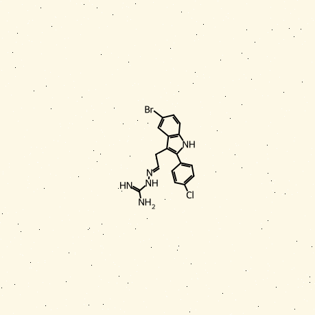 N=C(N)NN=CCc1c(-c2ccc(Cl)cc2)[nH]c2ccc(Br)cc12